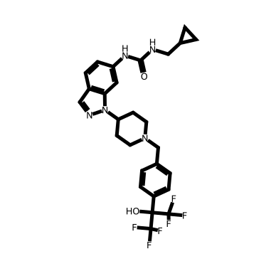 O=C(NCC1CC1)Nc1ccc2cnn(C3CCN(Cc4ccc(C(O)(C(F)(F)F)C(F)(F)F)cc4)CC3)c2c1